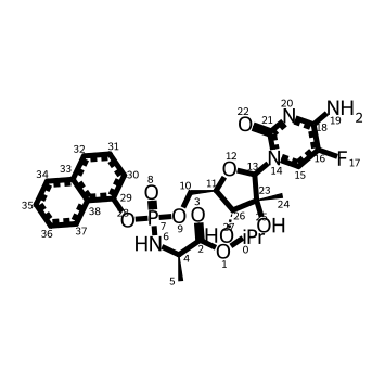 CC(C)OC(=O)[C@@H](C)NP(=O)(OC[C@H]1OC(n2cc(F)c(N)nc2=O)[C@](C)(O)[C@@H]1O)Oc1cccc2ccccc12